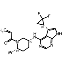 C=CC(=O)N1C[C@H](Nc2ncnc3[nH]cc([C@@H]4CC4(F)F)c23)CC[C@@H]1C(C)C